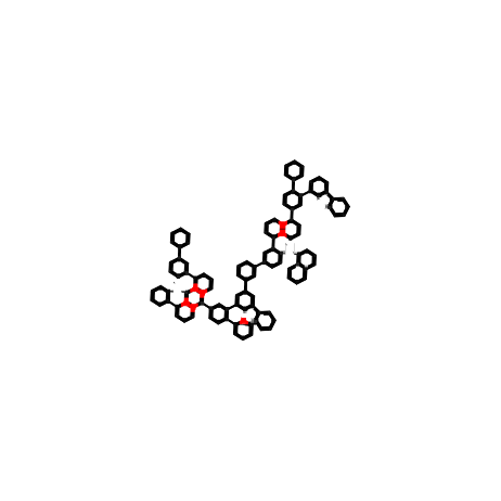 c1ccc(-c2ccc(N(c3ccc(-c4ccc(-c5ccccc5)c(-c5cc(-c6cccc(-c7ccc(N(c8ccc(-c9ccc(-c%10ccccc%10)c(-c%10cccc%11c%10oc%10ccccc%10%11)c9)cc8)c8cccc9ccccc89)c(-c8ccccc8)c7)c6)cc6c5oc5ccccc56)c4)cc3)c3ccccc3-c3ccccc3)c(-c3ccccc3)c2)cc1